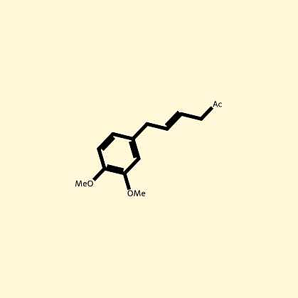 COc1ccc(CC=CCC(C)=O)cc1OC